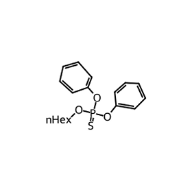 CCCCCCOP(=S)(Oc1ccccc1)Oc1ccccc1